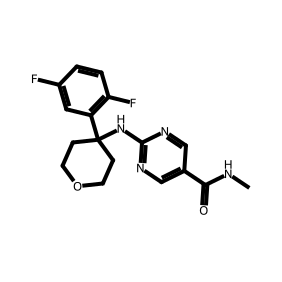 CNC(=O)c1cnc(NC2(c3cc(F)ccc3F)CCOCC2)nc1